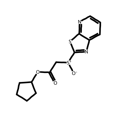 O=C(C[S+]([O-])c1nc2cccnc2s1)OC1CCCC1